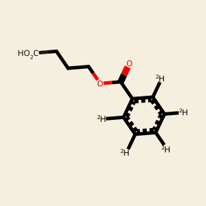 [2H]c1c([2H])c([2H])c(C(=O)OCCCC(=O)O)c([2H])c1[2H]